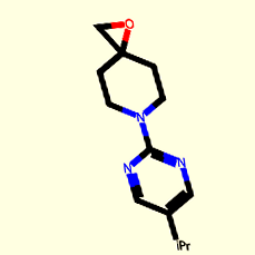 CC(C)c1cnc(N2CCC3(CC2)CO3)nc1